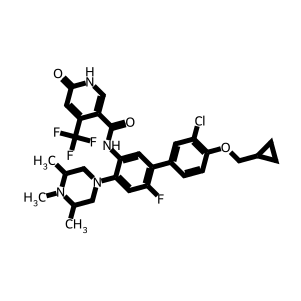 CC1CN(c2cc(F)c(-c3ccc(OCC4CC4)c(Cl)c3)cc2NC(=O)c2c[nH]c(=O)cc2C(F)(F)F)CC(C)N1C